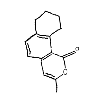 Cc1cc2ccc3c(c2c(=O)o1)CCCC3